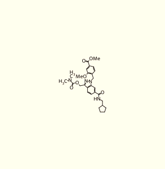 COC(=O)c1ccc(Cn2nc(COC(=O)N(C)C)c3ccc(C(=O)NCC4CCCC4)cc32)c(OC)c1